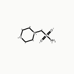 NS(=O)(=O)CN1CCOCC1